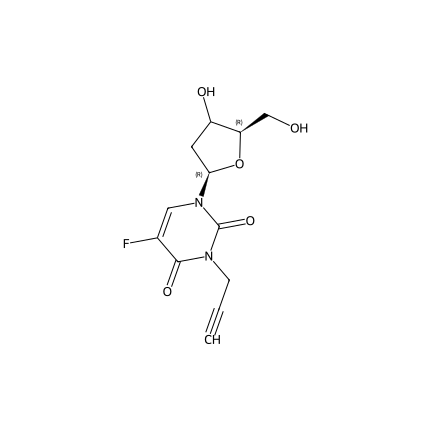 C#CCn1c(=O)c(F)cn([C@H]2CC(O)[C@@H](CO)O2)c1=O